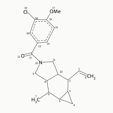 C=CC1C2CC2C(C)C2CN(C(=O)c3ccc(OC)c(Cl)c3)CC12